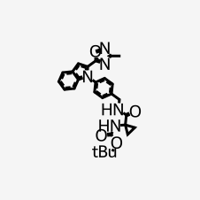 Cc1noc(-c2cc3ccccc3n2-c2ccc(CNC(=O)C3(NC(=O)OC(C)(C)C)CC3)cc2)n1